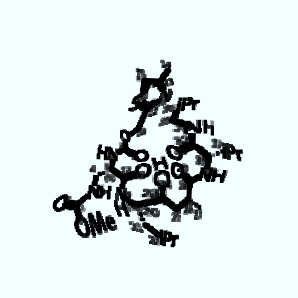 COC(=O)NC[C@H](NC(=O)OCc1nc(C)cs1)C(=O)N[C@@H](CC(C)C)[C@@H](O)C[C@@H](C)C(=O)N[C@H](C(=O)NCC(C)C)C(C)C